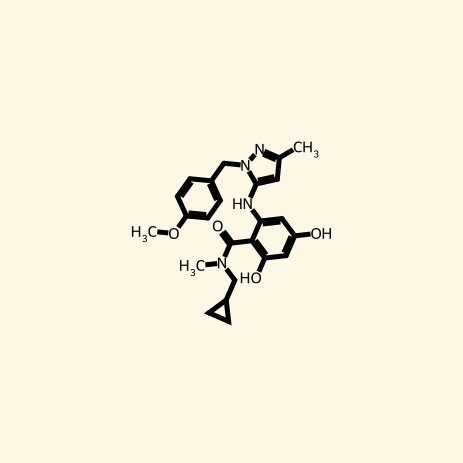 COc1ccc(Cn2nc(C)cc2Nc2cc(O)cc(O)c2C(=O)N(C)CC2CC2)cc1